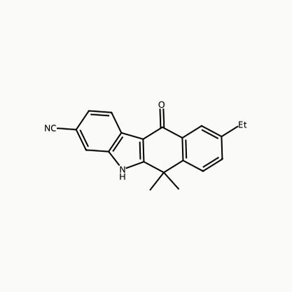 CCc1ccc2c(c1)C(=O)c1c([nH]c3cc(C#N)ccc13)C2(C)C